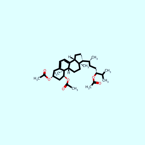 CC(=O)O[C@@H]1CC2=CC=C3[C@@H]4CC[C@H]([C@H](C)CC[C@@H](OC(C)=O)C(C)C)[C@@]4(C)CC[C@@H]3[C@@]2(C)[C@@H](OC(C)=O)C1